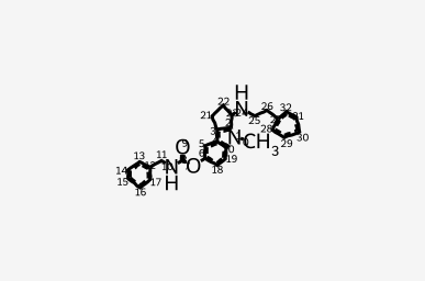 Cn1c2c(c3cc(OC(=O)NCc4ccccc4)ccc31)CCC2NCCc1ccccc1